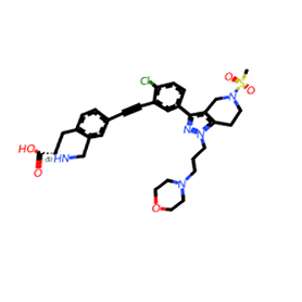 CS(=O)(=O)N1CCc2c(c(-c3ccc(Cl)c(C#Cc4ccc5c(c4)CN[C@H](C(=O)O)C5)c3)nn2CCCN2CCOCC2)C1